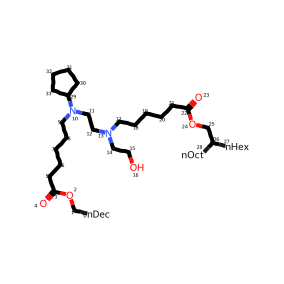 CCCCCCCCCCCOC(=O)CCCCCN(CCN(CCO)CCCCCC(=O)OCC(CCCCCC)CCCCCCCC)C1CCCC1